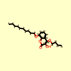 CCCCCCCCCCOc1cccc2c(OCCCC)c(O)c(=O)oc12